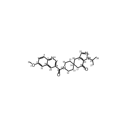 COc1ccc2ncc(C(=O)N3CCC4(CC3)CC(=O)c3c(cnn3C(C)C)C4)cc2c1